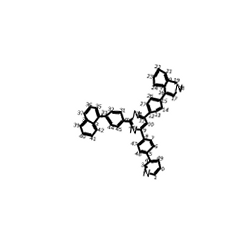 c1cncc(-c2ccc(-c3cc(-c4ccc(-c5cncc6ccccc56)cc4)nc(-c4ccc(-c5cccc6ccccc56)cc4)n3)cc2)c1